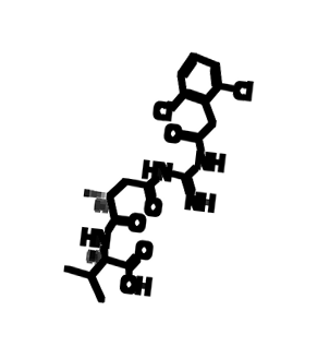 CC(C)[C@@H](NC(=O)[C@H](C)CC(=O)NC(=N)NC(=O)Cc1c(Cl)cccc1Cl)C(=O)O